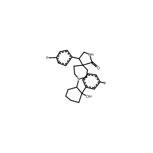 O=C1NCC(c2ccc(F)cc2)C12CCN(C1CCCCC1(O)c1cccc(F)c1)CC2